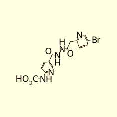 O=C(O)Nc1ccc(C(=O)NNC(=O)Cc2ccc(Br)cn2)cn1